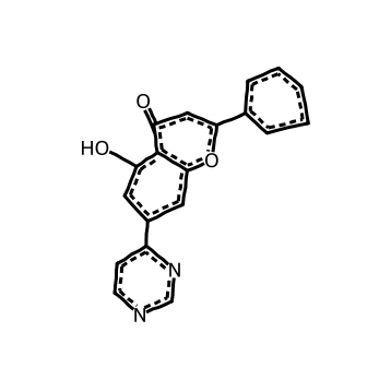 O=c1cc(-c2ccccc2)oc2cc(-c3ccncn3)cc(O)c12